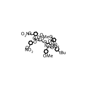 COc1ccc(-c2nc(NS(=O)(=O)c3ccc(C(C)(C)C)cn3)c(Oc3ccccc3OC)c(OCC(COC(=O)Oc3cccc(CO[N+](=O)[O-])c3)OC(=O)Oc3cccc(CO[N+](=O)[O-])c3)n2)cc1